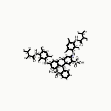 Cc1cc(C)c(NC(=O)C(C)C(C)C)c(C)c1/N=c1\cc2oc3cc(Nc4c(C)cc(C)c(NC(=O)C(C)C(C)C)c4C)ccc3c(-c3ccccc3S(=O)(=O)O)c-2cc1S(=O)(=O)O